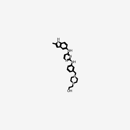 Cc1cc2cc(Nc3ccnc(Nc4cccc(CN5CCN(CCO)CC5)c4)n3)ccc2[nH]1